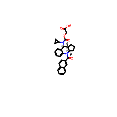 O=C(O)COC(=O)N(C1CC1)[C@H]1c2ccccc2N(C(=O)c2ccc3ccccc3c2)[C@@H]2CCC[C@@H]21